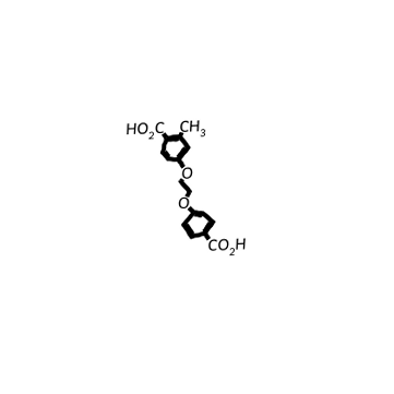 Cc1cc(OCCOc2ccc(C(=O)O)cc2)ccc1C(=O)O